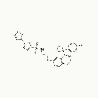 O=S(=O)(NCCOc1ccc2c(c1)C(C1(c3ccc(Cl)cc3)CCC1)NCC2)c1ccc(-c2ccon2)s1